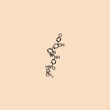 CN1CC(NC(=O)c2ccc(Nc3nc4c(N5CCC(O)(c6ccc(Cl)cc6)CC5)cccn4n3)cc2)C1